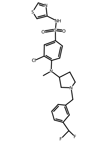 CN(c1ccc(S(=O)(=O)Nc2cscn2)cc1Cl)C1CCN(Cc2cccc(C(F)F)c2)C1